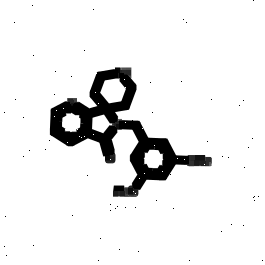 COc1cc(CN2C(=O)c3cccnc3C23CCNCC3)cc(OC)c1